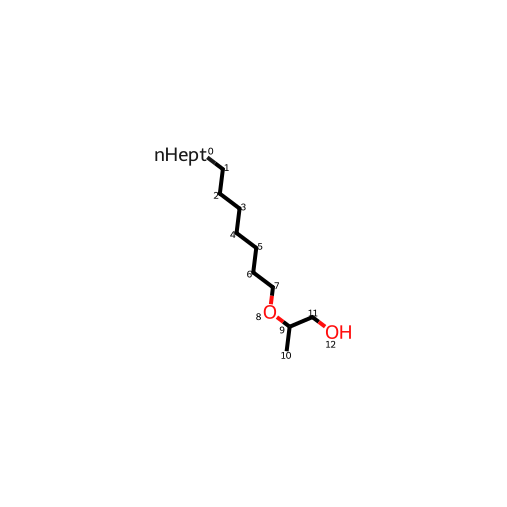 CCCCCCCCCCCCCCOC(C)CO